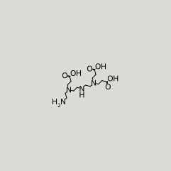 NCCN(CCNCCN(CCC(=O)O)CCC(=O)O)CCC(=O)O